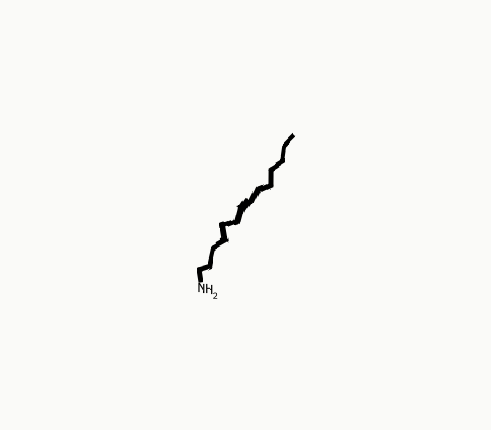 CCCCCC/C=C/CCCCCCN